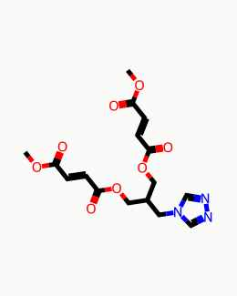 COC(=O)/C=C/C(=O)OCC(COC(=O)/C=C/C(=O)OC)Cn1cnnc1